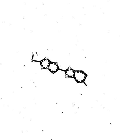 CSc1nn2cc(-c3nc4cc(F)ccc4o3)nc2s1